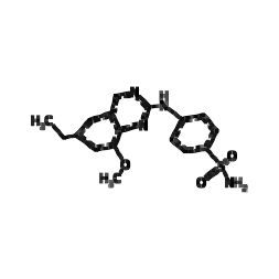 CCc1cc(OC)c2nc(Nc3ccc(S(N)(=O)=O)cc3)ncc2c1